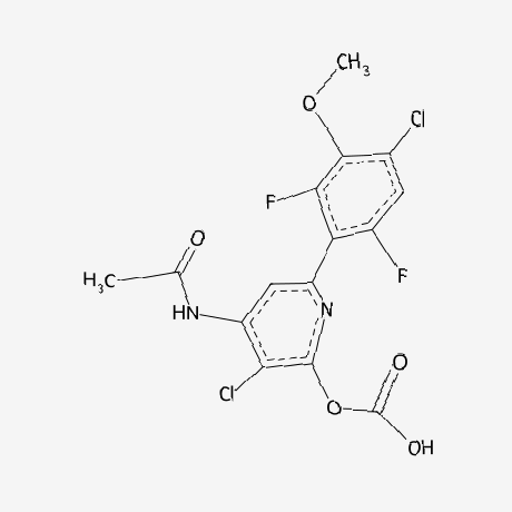 COc1c(Cl)cc(F)c(-c2cc(NC(C)=O)c(Cl)c(OC(=O)O)n2)c1F